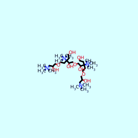 C[N+](C)(C)CC(O)COCCC(CCO)(C(O)COCC(O)C(CCO)(CCOCC(O)C[N+](C)(C)C)[N+](C)(C)C)[N+](C)(C)C